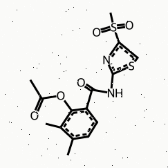 CC(=O)Oc1c(C(=O)Nc2nc(S(C)(=O)=O)cs2)ccc(C)c1C